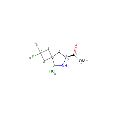 COC(=O)[C@@H]1CC2(CN1)CC(F)(F)C2.Cl